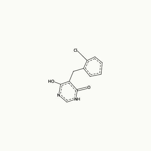 O=c1[nH]cnc(O)c1Cc1ccccc1Cl